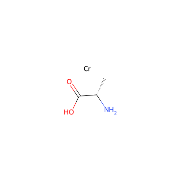 C[C@H](N)C(=O)O.[Cr]